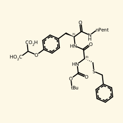 CCCCCNC(=O)[C@H](Cc1ccc(OC(C(=O)O)C(=O)O)cc1)NC(=O)[C@H](CSCc1ccccc1)NC(=O)OC(C)(C)C